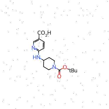 CC(C)(C)OC(=O)N1CCC(Nc2ccc(C(=O)O)cn2)CC1